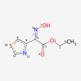 CCOC(=O)/C(=N\O)c1cscn1